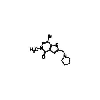 Cn1cc(Br)c2sc(CN3CCCC3)cc2c1=O